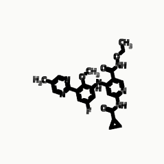 CCONC(=O)c1cnc(NC(=O)C2CC2)cc1Nc1cc(F)cc(-c2ncc(C)cn2)c1OC